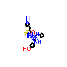 O=C1/C(=C/c2cc[nH]c2)SC(=S)N1Nc1nc(Nc2ccc(O)cc2)nc(NC2CCCC2)n1